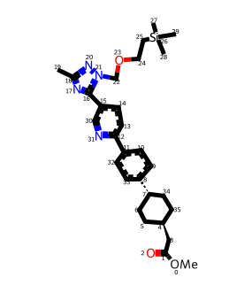 COC(=O)C[C@H]1CC[C@H](c2ccc(-c3ccc(-c4nc(C)nn4COCC[Si](C)(C)C)cn3)cc2)CC1